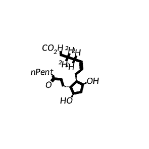 [2H]C([2H])(/C=C\C[C@@H]1[C@@H](CCC(=O)CCCCC)[C@H](O)C[C@@H]1O)C([2H])([2H])CC(=O)O